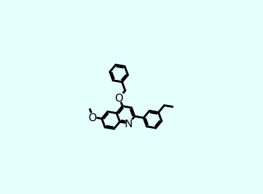 CCc1cccc(-c2cc(OCc3ccccc3)c3cc(OC)ccc3n2)c1